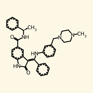 C[C@@H](NC(=O)c1ccc2c(c1)C(=C(Nc1cccc(CN3CCN(C)CC3)c1)c1ccccc1)C(=O)N2)c1ccccc1